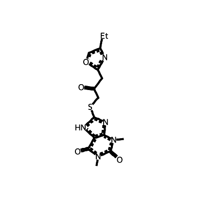 CCc1coc(CC(=O)CSc2nc3c([nH]2)c(=O)n(C)c(=O)n3C)n1